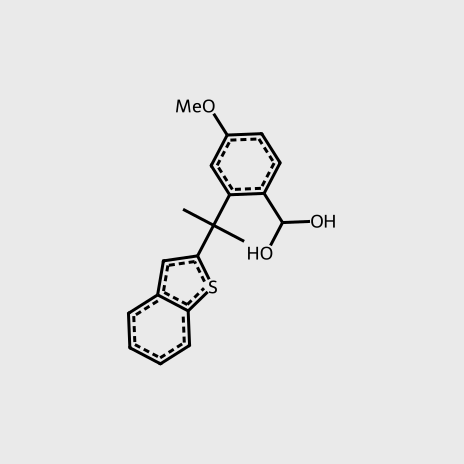 COc1ccc(C(O)O)c(C(C)(C)c2cc3ccccc3s2)c1